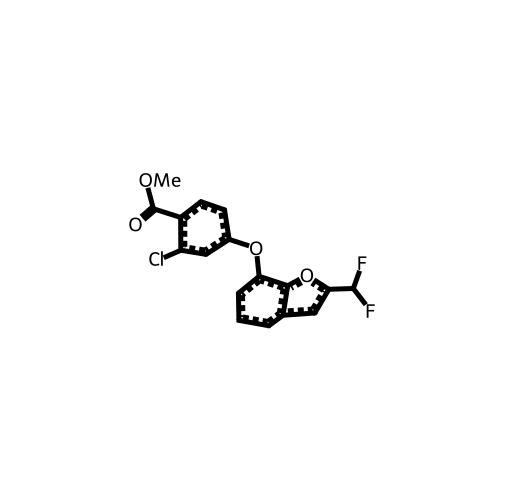 COC(=O)c1ccc(Oc2cccc3cc(C(F)F)oc23)cc1Cl